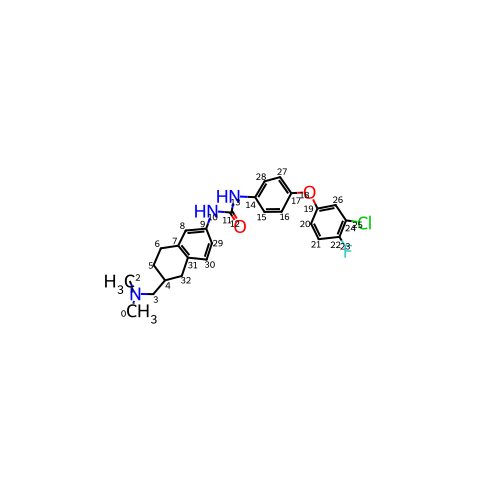 CN(C)CC1CCc2cc(NC(=O)Nc3ccc(Oc4ccc(F)c(Cl)c4)cc3)ccc2C1